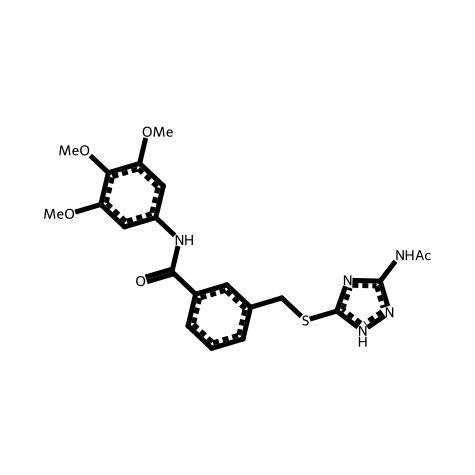 COc1cc(NC(=O)c2cccc(CSc3nc(NC(C)=O)n[nH]3)c2)cc(OC)c1OC